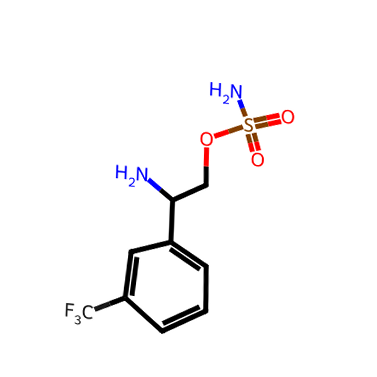 NC(COS(N)(=O)=O)c1cccc(C(F)(F)F)c1